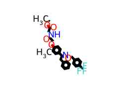 CCOC(=O)CNC(=O)COc1ccc(C(Cc2ccccc2)=NOCc2ccc(C(F)(F)F)cc2)cc1C